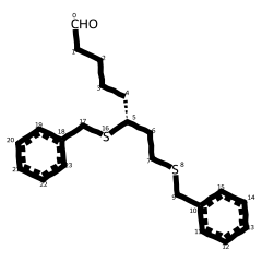 O=CCCCC[C@H](CCSCc1ccccc1)SCc1ccccc1